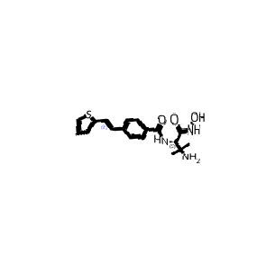 CC(C)(N)[C@H](NC(=O)c1ccc(/C=C/c2cccs2)cc1)C(=O)NO